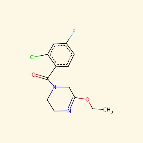 CCOC1=NCCN(C(=O)c2ccc(F)cc2Cl)C1